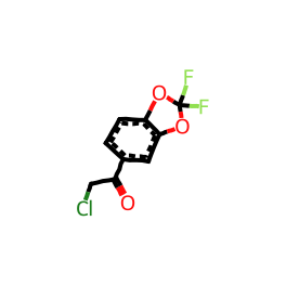 O=C(CCl)c1ccc2c(c1)OC(F)(F)O2